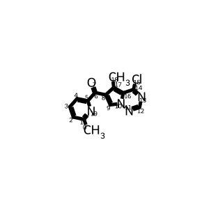 Cc1cccc(C(=O)c2cn3ncnc(Cl)c3c2C)n1